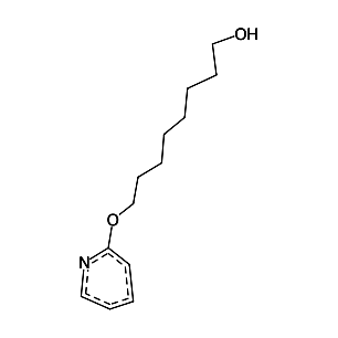 OCCCCCCCCOc1ccccn1